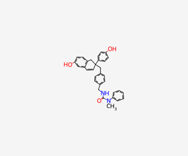 CN(C(=O)NCc1ccc(CC2(c3ccc(O)cc3)C=Cc3cc(O)ccc3C2)cc1)c1ccccc1